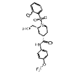 O=C(Nc1ccc(OC(F)(F)F)cc1)[C@H]1CCN(S(=O)(=O)c2ccccc2Cl)[C@H](CO)C1